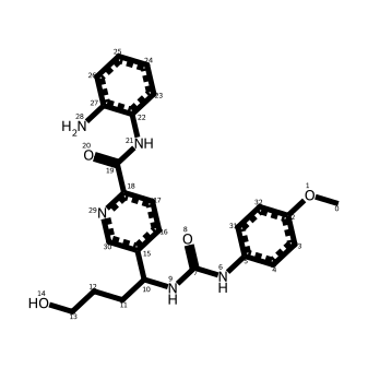 COc1ccc(NC(=O)NC(CCCO)c2ccc(C(=O)Nc3ccccc3N)nc2)cc1